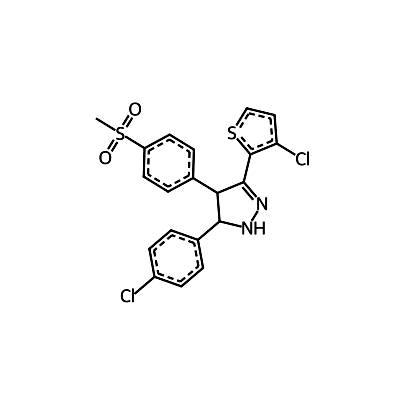 CS(=O)(=O)c1ccc(C2C(c3sccc3Cl)=NNC2c2ccc(Cl)cc2)cc1